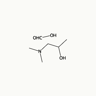 CC(O)CN(C)C.O=CO